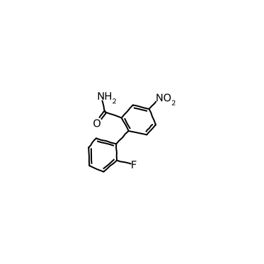 NC(=O)c1cc([N+](=O)[O-])ccc1-c1ccccc1F